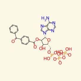 Nc1ncnc2c1ncn2[C@@H]1O[C@H](COP(=O)(O)OP(=O)(O)OP(=O)(O)O)[C@@H](O)[C@H]1OC(=O)c1ccc(C(=O)c2ccccc2)cc1